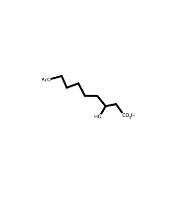 CC(=O)OCCCCCC(O)CC(=O)O